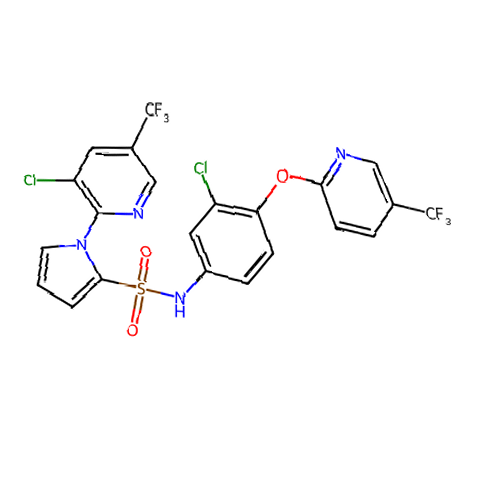 O=S(=O)(Nc1ccc(Oc2ccc(C(F)(F)F)cn2)c(Cl)c1)c1cccn1-c1ncc(C(F)(F)F)cc1Cl